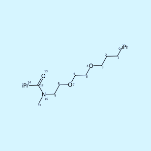 CC(C)CCCOCCOCCN(C)C(=O)C(C)C